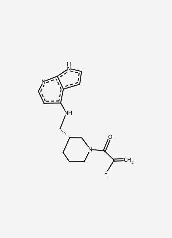 C=C(F)C(=O)N1CCC[C@H](CNc2ccnc3[nH]ccc23)C1